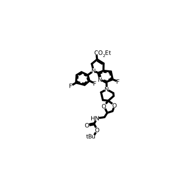 CCOC(=O)C1=Cc2cc(F)c(N3CCC4(CC3)OCC(CNC(=O)OC(C)(C)C)O4)nc2N(c2ccc(F)cc2F)C1